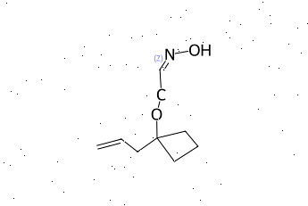 C=CCC1(OC/C=N\O)CCC1